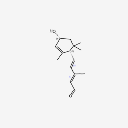 CC1=C[C@H](O)CC(C)(C)[C@@H]1/C=C/C(C)=C/C=O